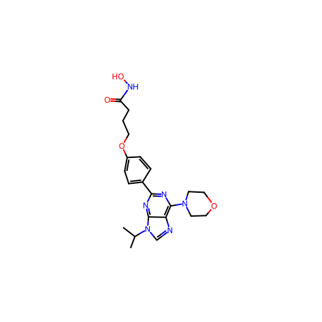 CC(C)n1cnc2c(N3CCOCC3)nc(-c3ccc(OCCCC(=O)NO)cc3)nc21